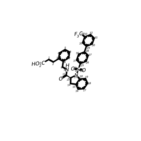 O=C(O)CCc1ccccc1CNC(=O)[C@@H]1Cc2ccccc2N1S(=O)(=O)c1ccc(-c2cccc(C(F)(F)F)c2)cc1